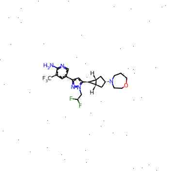 Nc1ncc(-c2cc([C@H]3[C@@H]4C[C@H](N5CCCOCC5)C[C@@H]43)n(CC(F)F)n2)cc1C(F)(F)F